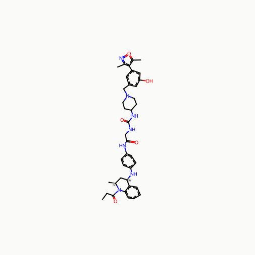 CCC(=O)N1c2ccccc2[C@H](Nc2ccc(NC(=O)CNC(=O)NC3CCN(Cc4cc(O)cc(-c5c(C)noc5C)c4)CC3)cc2)C[C@@H]1C